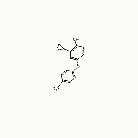 N#Cc1ccc(Oc2ccc([N+](=O)[O-])cn2)cc1C1CC1